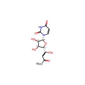 COC(=O)C=C(O)[C@H]1O[C@@H](n2ccc(=O)[nH]c2=O)[C@H](O)[C@@H]1O